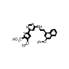 CCOc1cc(-c2cc(NCCc3cc(OC(C)C)cc4ccccc34)ncn2)sc1C(=O)O